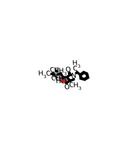 C[C@H](c1ccccc1)N1C[C@@](C)(C(=O)O)C(C(O)C[Si](C)(C)C(C)(C)C)C1=O